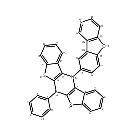 c1ccc(B2c3sc4ccccc4c3N(c3ccc4oc5ccncc5c4c3)c3c2sc2ccccc32)cc1